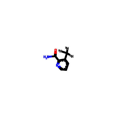 [2H]C([2H])([2H])c1cccnc1C(N)=O